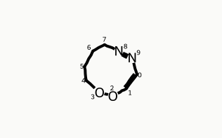 C1=COOCCCCN=N1